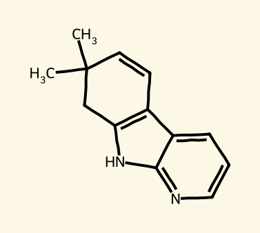 CC1(C)C=Cc2c([nH]c3ncccc23)C1